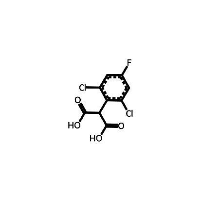 O=C(O)C(C(=O)O)c1c(Cl)cc(F)cc1Cl